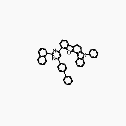 c1ccc(-c2ccc(-c3cc(-c4cccc5c4oc4c5ccc5c4c4ccccc4n5-c4ccccc4)nc(-c4cccc5ccccc45)n3)cc2)cc1